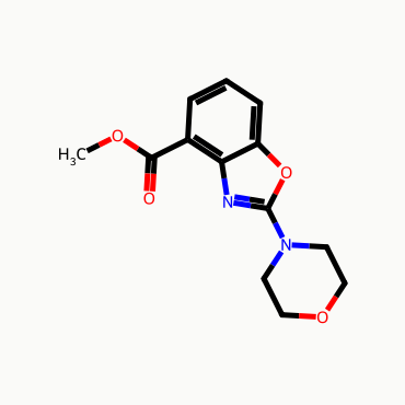 COC(=O)c1cccc2oc(N3CCOCC3)nc12